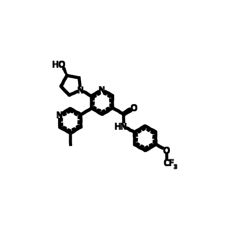 Cc1cncc(-c2cc(C(=O)Nc3ccc(OC(F)(F)F)cc3)cnc2N2CC[C@@H](O)C2)c1